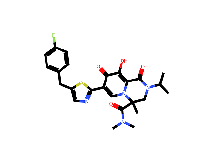 CC(C)N1CC(C)(C(=O)N(C)C)n2cc(-c3ncc(Cc4ccc(F)cc4)s3)c(=O)c(O)c2C1=O